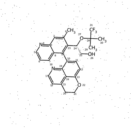 Cc1cc2ncccc2c(-c2ccc3c4c(ccnc24)CCO3)c1[C@@H](CO)OC(C)(C)C(F)(F)F